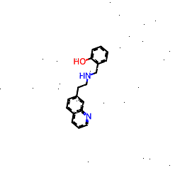 Oc1ccccc1CNCCc1ccc2cccnc2c1